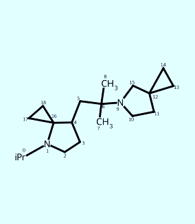 CC(C)N1CCC(CC(C)(C)N2CCC3(CC3)C2)C12CC2